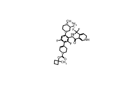 C[C@H]1CN(c2cc(F)c(C3=CCN(C(=O)OC4(C)CCC4)CC3)c(F)c2NC(=O)C2=CNCC=C2C(F)(F)F)CCN1C